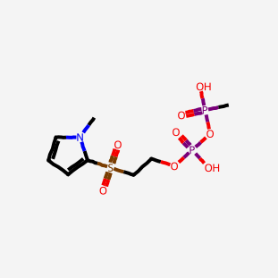 Cn1cccc1S(=O)(=O)CCOP(=O)(O)OP(C)(=O)O